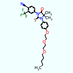 CCCCCOCCOCCOc1ccc(N2C(=S)N(c3ccc(C#N)c(C(F)(F)F)c3)C(=O)C2(C)C)cc1